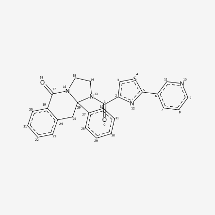 O=C(c1csc(-c2cccnc2)n1)N1CCN2C(=O)c3ccccc3CC12c1ccccc1